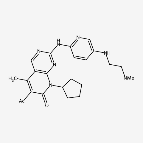 CNCCNc1ccc(Nc2ncc3c(C)c(C(C)=O)c(=O)n(C4CCCC4)c3n2)nc1